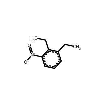 CCc1[c]ccc([N+](=O)[O-])c1CC